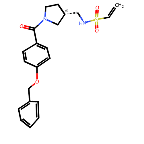 C=CS(=O)(=O)NC[C@H]1CCN(C(=O)c2ccc(OCc3ccccc3)cc2)C1